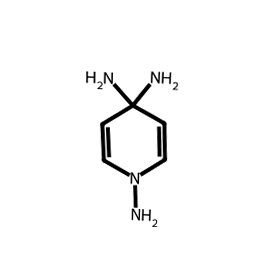 NN1C=CC(N)(N)C=C1